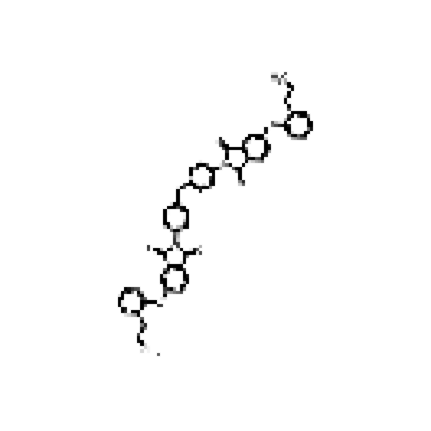 C=CCc1ccccc1Oc1ccc2c(c1)C(=O)N(c1ccc(Cc3ccc(N4C(=O)c5ccc(Oc6ccccc6CC=C)cc5C4=O)cc3)cc1)C2=O